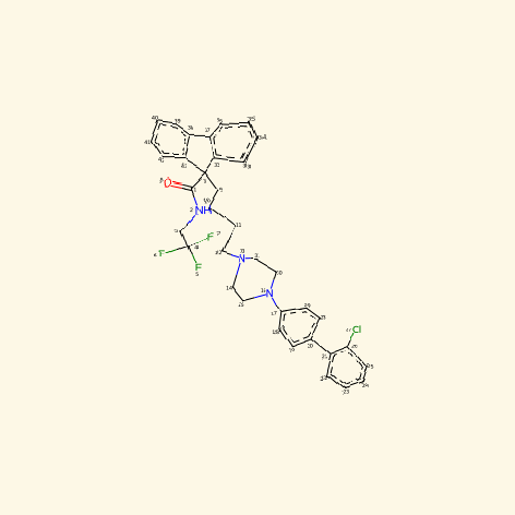 O=C(NCC(F)(F)F)C1(CCCCN2CCN(c3ccc(-c4ccccc4Cl)cc3)CC2)c2ccccc2-c2ccccc21